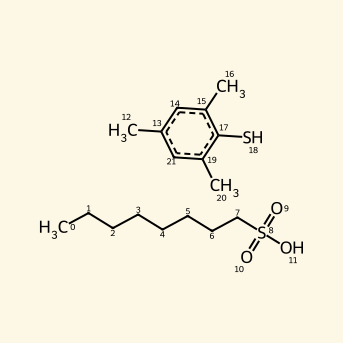 CCCCCCCCS(=O)(=O)O.Cc1cc(C)c(S)c(C)c1